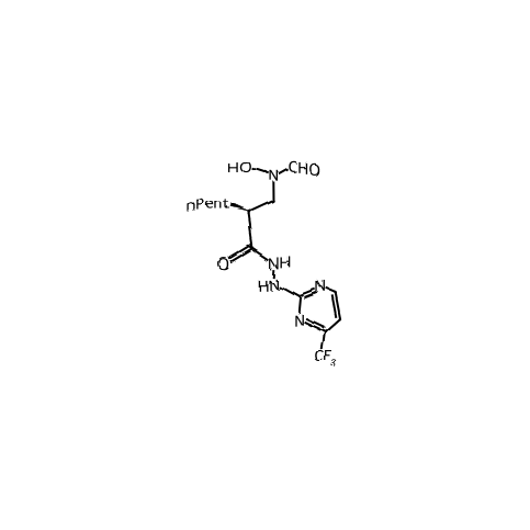 CCCCC[C@@H](CN(O)C=O)C(=O)NNc1nccc(C(F)(F)F)n1